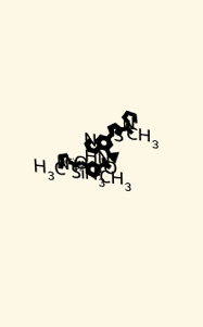 Cc1ccc(O[C@@H]([SiH3])[C@@H]2CCN2C)cc1C(=O)NC1(c2cc(-c3ccc(C(C)N4CCCC4)s3)cc3ncccc23)CC1